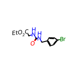 CCOC(=O)CNC(=O)NCc1ccc(Br)cc1